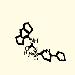 NS(=O)(=NC(=O)Nc1c2c(cc3c1CCC3)CCC2)c1ccc(C2CCCC2)nc1